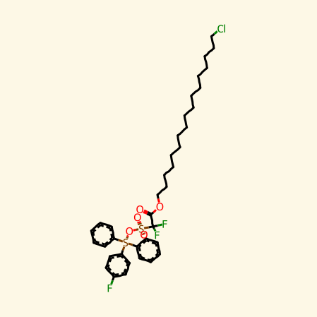 O=C(OCCCCCCCCCCCCCCCCCCl)C(F)(F)S(=O)(=O)OS(c1ccccc1)(c1ccccc1)c1ccc(F)cc1